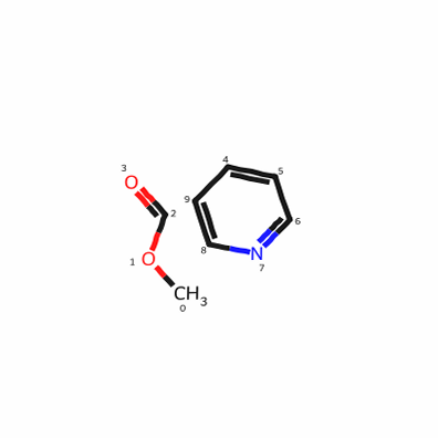 COC=O.c1ccncc1